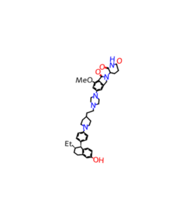 CC[C@@H]1CCc2cc(O)ccc2[C@@H]1c1ccc(N2CCC(CCN3CCN(c4cc5c(c(OC)c4)C(=O)N(C4CCC(=O)NC4=O)C5)CC3)CC2)cc1